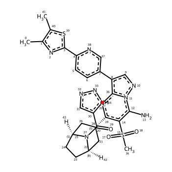 Cc1nc(-c2ccc(-c3cnn4c(N)c(S(C)(=O)=O)c([C@@H]5C[C@H]6CC[C@@H](C5)N6C(=O)c5cnn[nH]5)nc34)cn2)sc1C